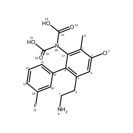 Cc1c(Cl)cc(CCN)c(-c2cccc(F)c2)c1N(C(=O)O)C(=O)O